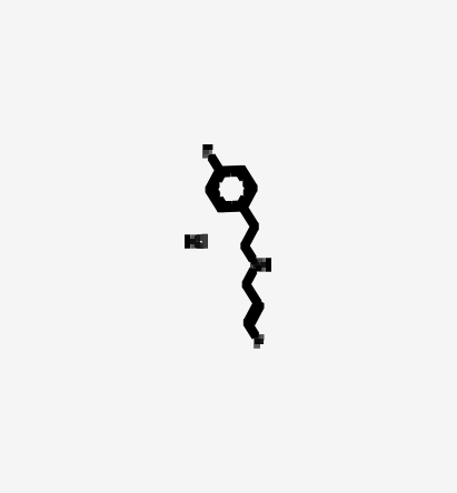 Cl.F/C=C/CNCCc1ccc(F)cc1